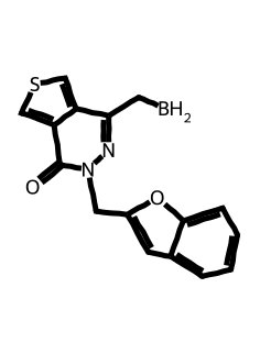 BCc1nn(Cc2cc3ccccc3o2)c(=O)c2cscc12